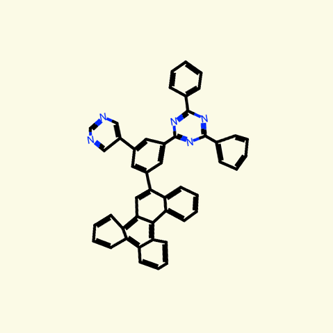 c1ccc(-c2nc(-c3ccccc3)nc(-c3cc(-c4cncnc4)cc(-c4cc5c6ccccc6c6ccccc6c5c5ccccc45)c3)n2)cc1